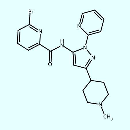 CN1CCC(c2cc(NC(=O)c3cccc(Br)n3)n(-c3ccccn3)n2)CC1